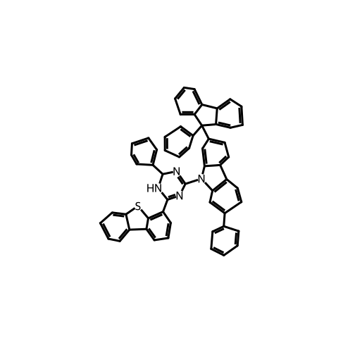 c1ccc(-c2ccc3c4ccc(C5(c6ccccc6)c6ccccc6-c6ccccc65)cc4n(C4=NC(c5ccccc5)NC(c5cccc6c5sc5ccccc56)=N4)c3c2)cc1